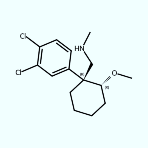 CNC[C@]1(c2ccc(Cl)c(Cl)c2)CCCC[C@H]1OC